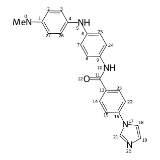 CNc1ccc(Nc2ccc(NC(=O)c3ccc(-n4ccnc4)cc3)cc2)cc1